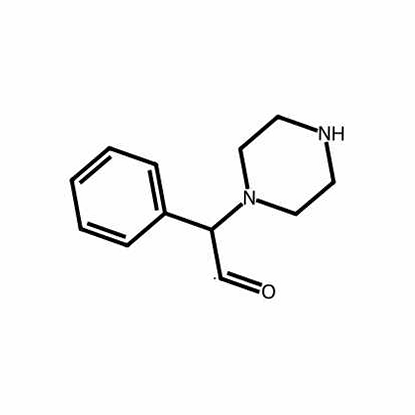 O=[C]C(c1ccccc1)N1CCNCC1